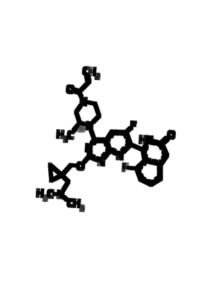 C=CC(=O)N1CCN(c2nc(OCC3(CN(C)C)CC3)nc3nc(-c4[nH]c(=O)cc5cccc(F)c45)c(F)cc23)[C@@H](C)C1